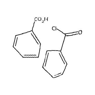 O=C(Cl)c1ccccc1.O=C(O)c1ccccc1